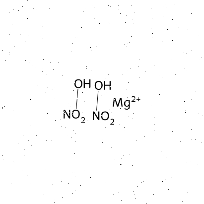 O=[N+]([O-])O.O=[N+]([O-])O.[Mg+2]